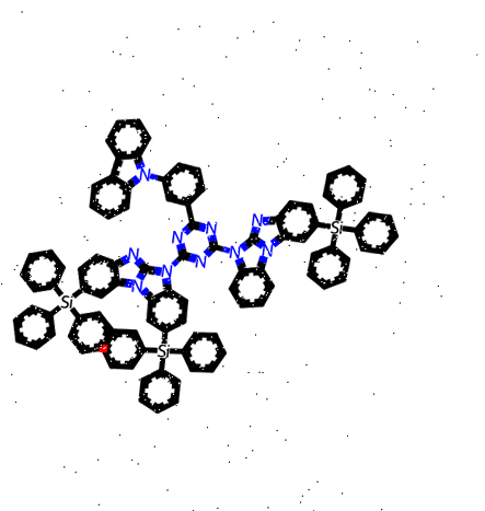 c1ccc([Si](c2ccccc2)(c2ccccc2)c2ccc3nc4n(-c5nc(-c6cccc(-n7c8ccccc8c8ccccc87)c6)nc(-n6c7ccc([Si](c8ccccc8)(c8ccccc8)c8ccccc8)cc7n7c8cc([Si](c9ccccc9)(c9ccccc9)c9ccccc9)ccc8nc67)n5)c5ccccc5n4c3c2)cc1